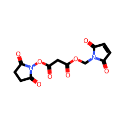 O=C(CC(=O)ON1C(=O)CCC1=O)OCN1C(=O)C=CC1=O